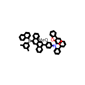 COc1cc(N(c2ccccc2-c2ccccc2)c2cccc3c2oc2ccccc23)ccc1-c1cc2c3ccccc3c(B(c3cc(C)cc(C)c3)c3cccc4ccccc34)cc2c2ccccc12